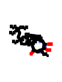 CC1=C/C(=O)C[C@H]2[C@](C)(\C=C/C(O)=C\1O)CC[C@@]1(C)C[C@](C)(CCC(C)(C)C(=O)O)CC[C@]21C